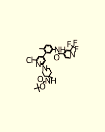 Cc1ccc(NC(=O)c2ccnc(C(F)(F)F)c2)cc1-c1cc(Cl)nc(N2CCC(C)(NC(=O)OC(C)(C)C)CC2)c1